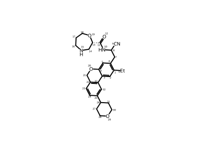 CCc1cc2c(cc1CC(C#N)NC(=O)[C@@H]1CNCCCO1)OCc1ccc(C3CCOCC3)cc1-2